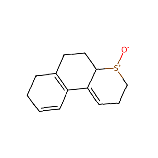 [O-][S+]1CCC=C2C3=C(CCC=C3)CCC21